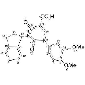 COc1ccc(-n2cc(C(=O)O)c(=O)n(C3CCc4ccccc43)c2=O)cc1OC